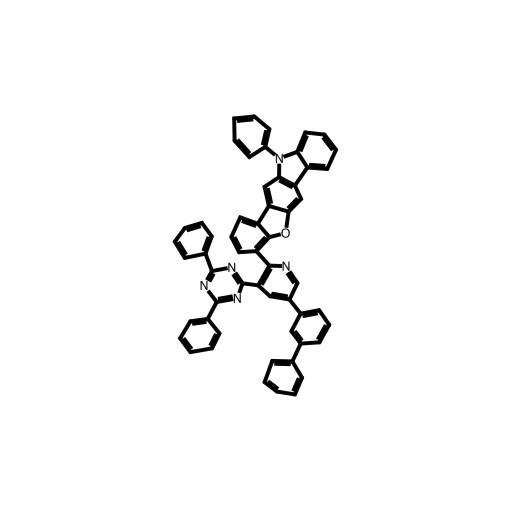 c1ccc(-c2cccc(-c3cnc(-c4cccc5c4oc4cc6c7ccccc7n(-c7ccccc7)c6cc45)c(-c4nc(-c5ccccc5)nc(-c5ccccc5)n4)c3)c2)cc1